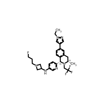 CCn1cc(-c2ccc3c(c2)C[C@H](C)N(CC(F)(F)F)[C@@H]3c2ccc(NC3CN(CCCF)C3)cn2)cn1